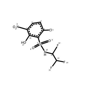 O=[N+]([O-])c1ccc(Cl)c(S(=O)(=O)NC(F)C(F)F)c1O